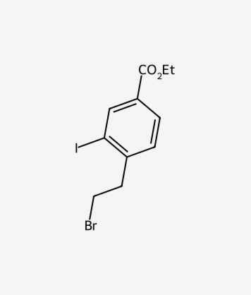 CCOC(=O)c1ccc(CCBr)c(I)c1